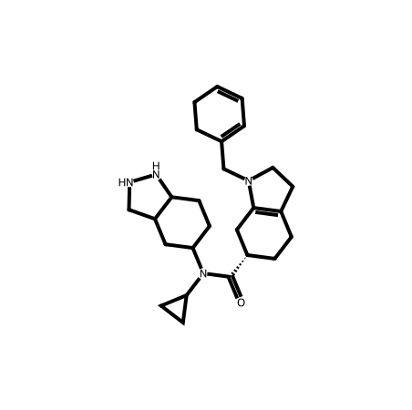 O=C([C@H]1CCC2=C(C1)N(CC1=CC=CCC1)CC2)N(C1CC1)C1CCC2NNCC2C1